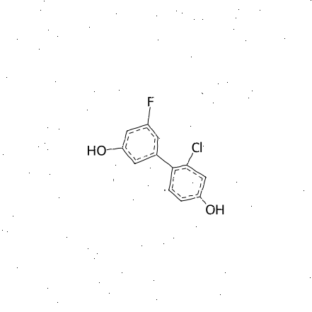 Oc1cc(F)cc(-c2[c]cc(O)cc2Cl)c1